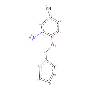 N#Cc1ccc(OCc2ccccc2)c(N)c1